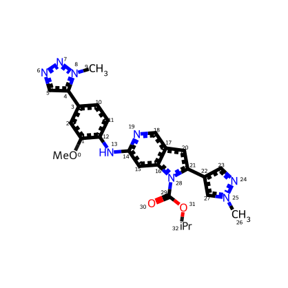 COc1cc(-c2cnnn2C)ccc1Nc1cc2c(cn1)cc(-c1cnn(C)c1)n2C(=O)OC(C)C